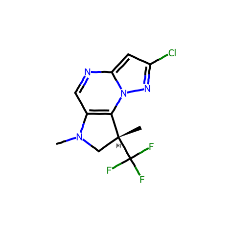 CN1C[C@@](C)(C(F)(F)F)c2c1cnc1cc(Cl)nn21